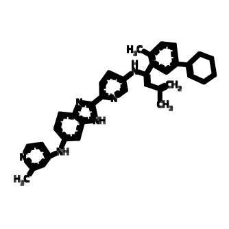 C=C(C)/C=C(/Nc1ccc(-c2nc3ccc(Nc4ccnc(C)c4)cc3[nH]2)nc1)c1cc(C2=CCCCC2)ccc1C